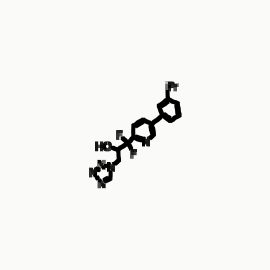 CC(C)c1cccc(-c2ccc(C(F)(F)C(O)Cn3cnnn3)nc2)c1